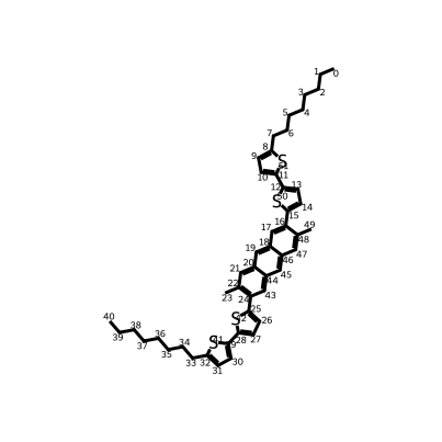 CCCCCCCCc1ccc(-c2ccc(-c3cc4cc5cc(C)c(-c6ccc(-c7ccc(CCCCCCCC)s7)s6)cc5cc4cc3C)s2)s1